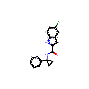 O=C(NC1(c2ccccc2)CC1)c1cc2cc(Br)ccc2[nH]1